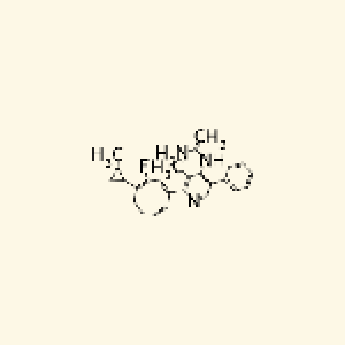 C=C(N)Nc1c(-c2ccccc2)cnc(C2=C/C(F)=C(/C3CC3C)CC/C=C\2)c1C